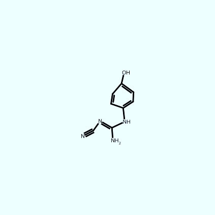 N#CN=C(N)Nc1ccc(O)cc1